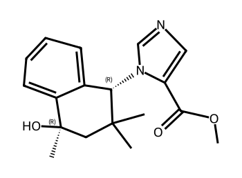 COC(=O)c1cncn1[C@H]1c2ccccc2[C@](C)(O)CC1(C)C